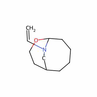 C=CN1CC2CCCCC1OCC2